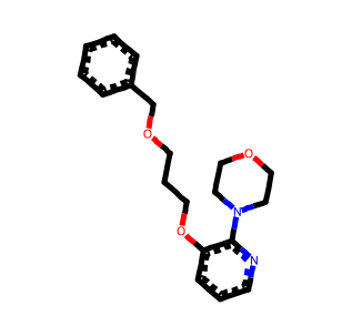 c1ccc(COCCCOc2cccnc2N2CCOCC2)cc1